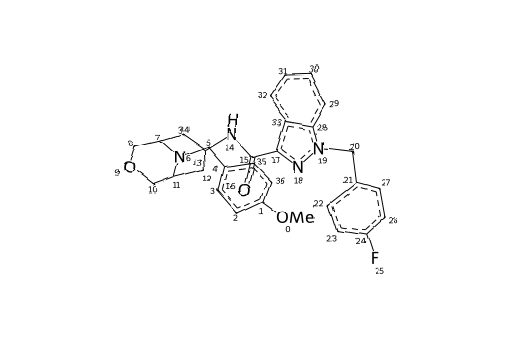 COc1ccc(CN2C3COCC2CC(NC(=O)c2nn(Cc4ccc(F)cc4)c4ccccc24)C3)cc1